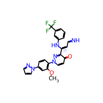 COc1cc(-n2cccn2)ccc1-n1ccc(=O)c(/C(=C/C=N)Nc2cccc(C(F)(F)F)c2)n1